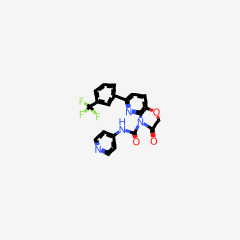 O=C1COc2ccc(-c3cccc(C(F)(F)F)c3)nc2N1C(=O)Nc1ccncc1